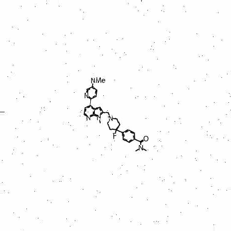 CNc1ccc(-c2ccnc3c2cc(CN2CCC(F)(c4ccc(C(=O)N(C)C)cc4)CC2)n3C)nc1